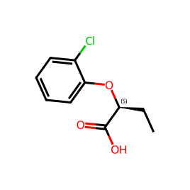 CC[C@H](Oc1ccccc1Cl)C(=O)O